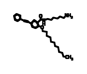 CCCCCCCCCCCCOc1ccc(C#Cc2ccccc2)cc1C(=O)NCCCCCCN